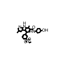 CCS(=O)(=O)c1cccc(-c2cc(C(=O)NC3CCC(O)CC3)c(C)c3[nH]c4ncc(C)cc4c23)c1